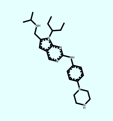 CCC(CC)n1c(CNC(C)C)cc2cnc(Nc3ccc(N4CCNCC4)cc3)nc21